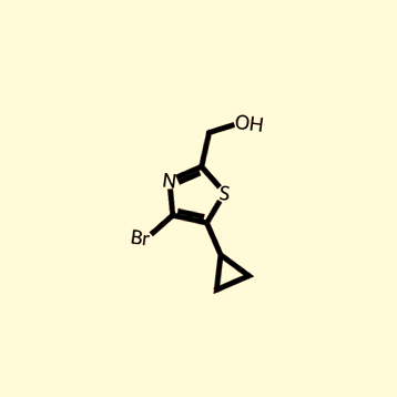 OCc1nc(Br)c(C2CC2)s1